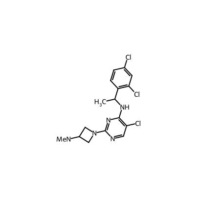 CNC1CN(c2ncc(Cl)c(NC(C)c3ccc(Cl)cc3Cl)n2)C1